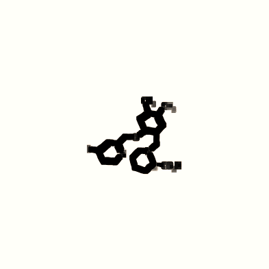 Cc1cc(CN2CCCC[C@H]2C(=O)O)c(OCc2cc(I)ccn2)cc1C